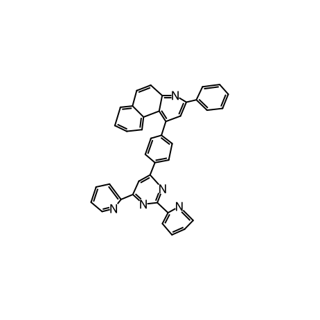 c1ccc(-c2cc(-c3ccc(-c4cc(-c5ccccn5)nc(-c5ccccn5)n4)cc3)c3c(ccc4ccccc43)n2)cc1